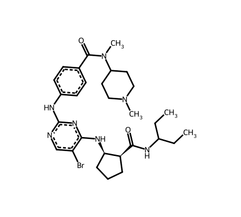 CCC(CC)NC(=O)[C@H]1CCC[C@H]1Nc1nc(Nc2ccc(C(=O)N(C)C3CCN(C)CC3)cc2)ncc1Br